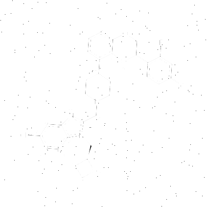 Fc1cc(Cl)ccc1C1COc2cccc(C3CCN(Cc4nc5cc(Cl)nnc5n4C[C@@H]4CCO4)CC3)c2O1